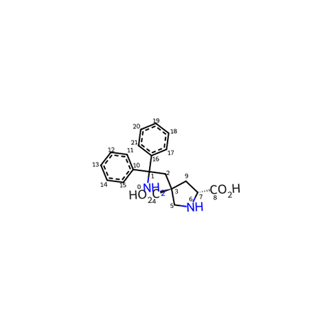 NC(C[C@@]1(C(=O)O)CN[C@@H](C(=O)O)C1)(c1ccccc1)c1ccccc1